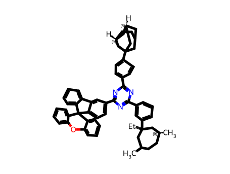 CCC1(c2cccc(-c3nc(-c4ccc(C56CC7CC[C@H](C[C@@H](C7)C5)C6)cc4)nc(-c4ccc5c(c4)-c4ccccc4C54c5ccccc5Oc5ccccc54)n3)c2)CC(C)CC[C@@H](C)C1